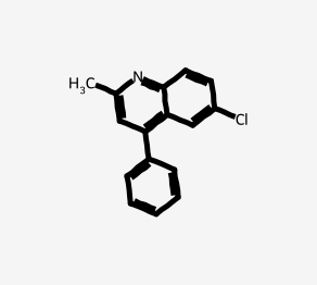 Cc1cc(-c2ccccc2)c2cc(Cl)ccc2n1